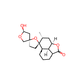 C[C@@H]1C[C@H]2OC(=O)[C@@]3(C)CCC[C@@](C)([C@@H]23)[C@@]12CC[C@@]1(CO[C@@H](O)C1)O2